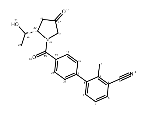 Cc1c(C#N)cccc1-c1ccc(C(=O)N2CC(=O)C[C@H]2C(C)O)cc1